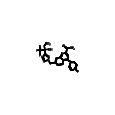 CCC(O)(c1nnn(Cc2ccc3c(-c4ccc(F)cc4)cc(C(N)=O)nc3c2)n1)C(F)(F)F